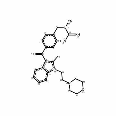 Cc1c(C(=O)c2ccc(CN(C#N)C(=N)N)cc2)c2ccccc2n1CCN1CCOCC1